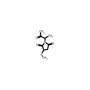 CSC1CC(=O)N(C(C)C(C)=O)C1=O